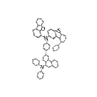 c1ccc(-c2cccc3sc4ccc(N(c5ccc(-c6ccc7c(N(c8ccccc8)c8ccccc8)cc8ccccc8c7c6)cc5)c5cccc6c5oc5ccccc56)cc4c23)cc1